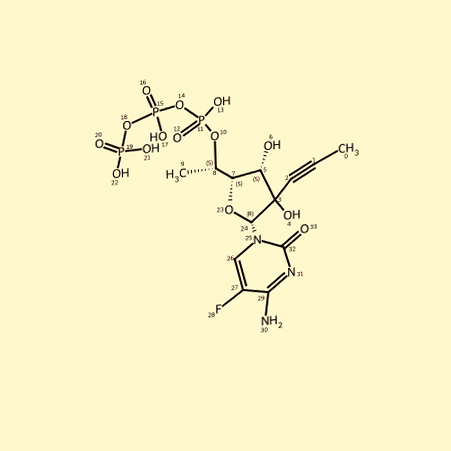 CC#CC1(O)[C@@H](O)[C@@H]([C@H](C)OP(=O)(O)OP(=O)(O)OP(=O)(O)O)O[C@H]1n1cc(F)c(N)nc1=O